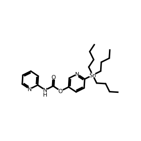 CCC[CH2][Sn]([CH2]CCC)([CH2]CCC)[c]1ccc(OC(=O)Nc2ccccn2)cn1